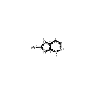 CC(C)c1nc2nnccc2o1